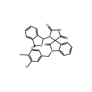 O=C1OC(N2C(=O)NC(=O)C23C(=O)N(Cc2ccc(Cl)c(Cl)c2)c2ccccc23)c2ccccc21